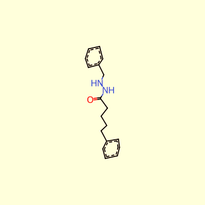 O=C(CCCCc1ccccc1)NNCc1ccccc1